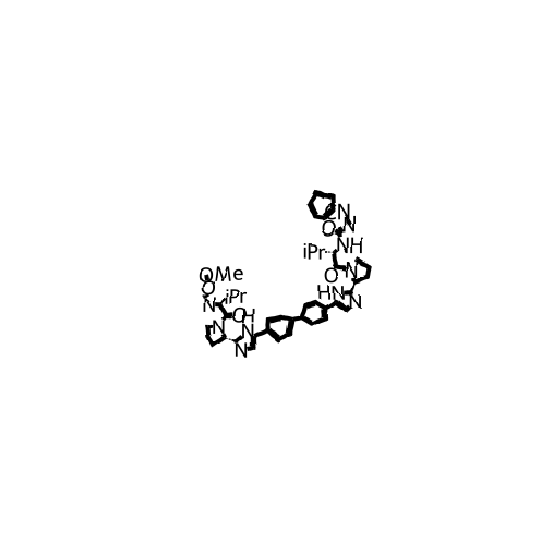 [C-]#[N+]N=C(N[C@H](C(=O)N1CCC[C@H]1c1ncc(-c2ccc(-c3ccc(-c4cnc([C@@H]5CCCN5C(=O)[C@@H](/N=C\OOC)C(C)C)[nH]4)cc3)cc2)[nH]1)C(C)C)Oc1ccccc1